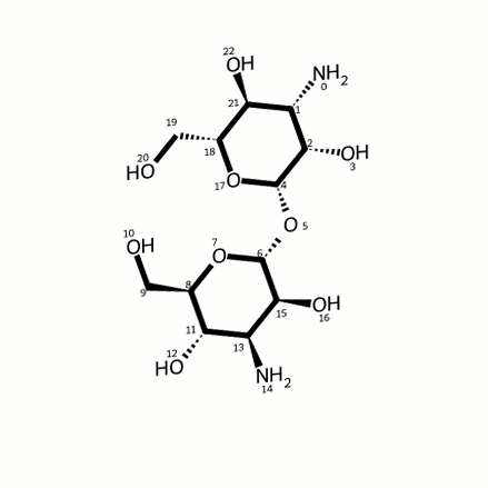 N[C@@H]1[C@H](O)[C@H](O[C@H]2O[C@H](CO)[C@@H](O)[C@H](N)[C@@H]2O)O[C@H](CO)[C@H]1O